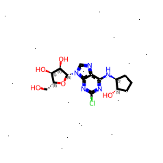 OC[C@H]1O[C@@H](n2cnc3c(N[C@H]4CCC[C@@H]4O)nc(Cl)nc32)[C@H](O)[C@@H]1O